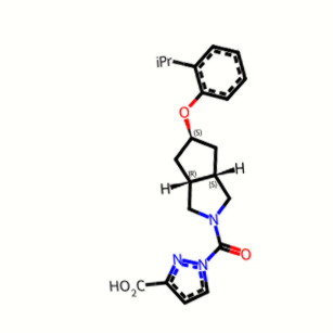 CC(C)c1ccccc1O[C@H]1C[C@@H]2CN(C(=O)n3ccc(C(=O)O)n3)C[C@@H]2C1